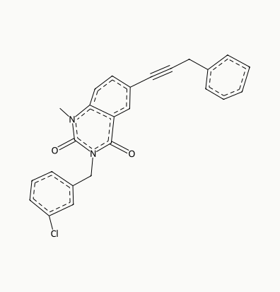 Cn1c(=O)n(Cc2cccc(Cl)c2)c(=O)c2cc(C#CCc3ccccc3)ccc21